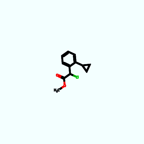 COC(=O)C(Cl)c1ccccc1C1CC1